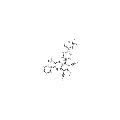 CCc1c(C#N)c(SC(C(N)=O)c2ccccc2)nc(N2CCN(C(=O)OC(C)(C)C)CC2)c1C#N